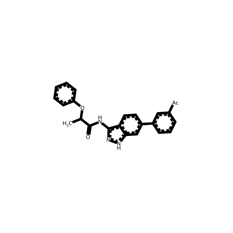 CC(=O)c1cccc(-c2ccc3c(NC(=O)C(C)Oc4ccccc4)n[nH]c3c2)c1